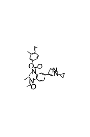 CC(=O)N1c2ccc(-c3cnn(C4CC4)c3)cc2N(C(=O)Oc2ccc(F)c(C)c2)C[C@@H]1C